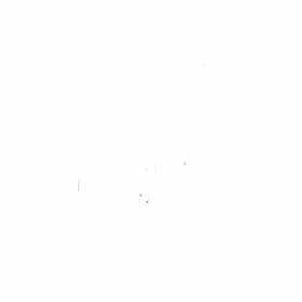 C/C(=N/OCc1ccccc1)C(C)(C)C